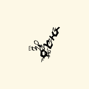 CCOC[C@@]1(Cn2c(=O)n(CC)c3cc(F)c(F)cc32)CCN(C(C)(C)c2ccc(C)nc2)C1